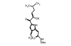 C=C(/C=c1/[nH]c(C(=O)/C(C#N)=C/CN(C)C)c/c1=C/C)NSC